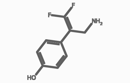 NCC(=C(F)F)c1ccc(O)cc1